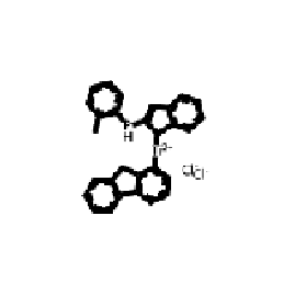 Cc1ccccc1PC1=Cc2ccccc2[CH]1[Ti+2][c]1cccc2c1Cc1ccccc1-2.[Cl-].[Cl-]